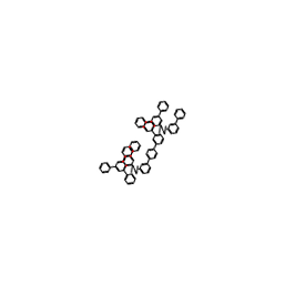 c1ccc(-c2cc(-c3ccccc3)cc(-c3ccccc3N(c3cccc(-c4ccccc4)c3)c3cccc(-c4ccc(-c5ccc(N(c6cccc(-c7ccccc7)c6)c6cc(-c7ccccc7)cc(-c7ccccc7)c6)c(-c6ccccc6)c5)cc4)c3)c2)cc1